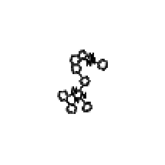 c1ccc(-c2nc(-c3cccc(-c4ccc5ccc6ccc7nn(-c8ccccc8)nc7c6c5c4)c3)nc(-c3ccccc3-c3ccccc3)n2)cc1